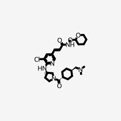 CN(C)C[C@H]1CC[C@H](C(=O)N2CC[C@@H](Nc3ncc(C=CC(=O)NOC4CCCCO4)cc3Cl)C2)CC1